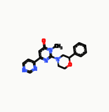 Cn1c(N2CCOC(c3ccccc3)C2)nc(-c2ccncn2)cc1=O